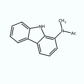 CC(=O)N(C)c1cccc2c1[nH]c1ccccc12